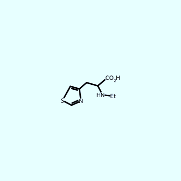 CCNC(Cc1cscn1)C(=O)O